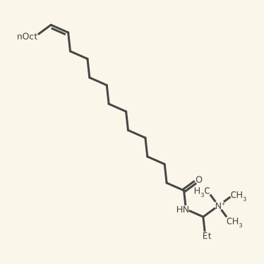 CCCCCCCC/C=C\CCCCCCCCCCCC(=O)NC(CC)[N+](C)(C)C